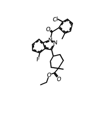 CCOC(=O)C1(C)CCC(c2nn(C(=O)c3c(C)cccc3Cl)c3cccc(F)c23)CC1